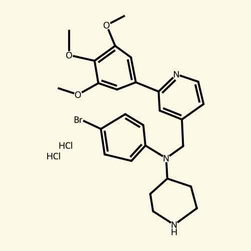 COc1cc(-c2cc(CN(c3ccc(Br)cc3)C3CCNCC3)ccn2)cc(OC)c1OC.Cl.Cl